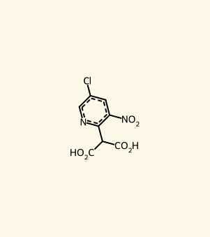 O=C(O)C(C(=O)O)c1ncc(Cl)cc1[N+](=O)[O-]